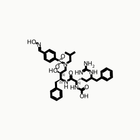 CC(C)CN(C[C@H](O)[C@H](Cc1ccccc1)NC(=O)[C@H](CCC(Cc1ccccc1)NC(=N)N)NC(=O)O)S(=O)(=O)c1ccc(C=NO)cc1